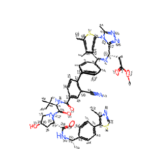 COC(=O)C[C@@H]1N=C(c2ccc(-c3ccc(C(=O)NC(C(=O)N4C[C@H](O)C[C@H]4C(=O)N[C@@H](C)c4ccc(-c5scnc5C)cc4)C(C)(C)C)cc3C#N)cc2)c2c(sc(C)c2C)-n2c(C)nnc21